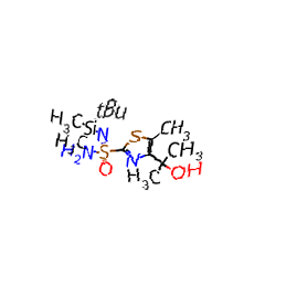 Cc1sc(S(N)(=O)=N[Si](C)(C)C(C)(C)C)nc1C(C)(C)O